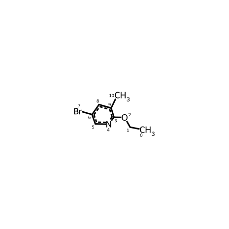 CCOc1ncc(Br)cc1C